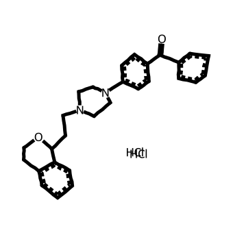 Cl.Cl.O=C(c1ccccc1)c1ccc(N2CCN(CCC3OCCc4ccccc43)CC2)cc1